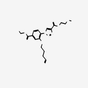 C=CCCCOc1cc(C(=O)NCC(F)(F)F)ccc1-n1cc(C(=O)NCCOCC)nn1